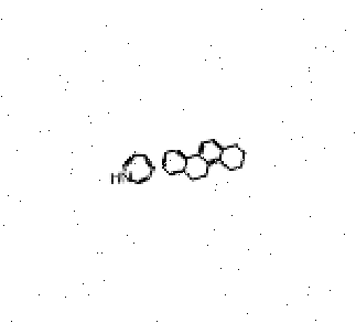 C1=CC=CNC=C1.c1ccc2c(c1)CCc1c-2ccc2c1CCCC2